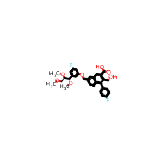 COC[C@@H](OC)[C@@H](OC)c1cc(F)cc(OC=c2ccc3c(c2)CC(C(=O)O)=C(CO)C=3c2ccc(F)cc2)c1